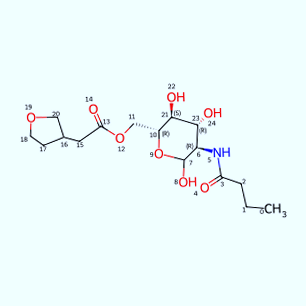 CCCC(=O)N[C@H]1C(O)O[C@H](COC(=O)CC2CCOC2)[C@@H](O)[C@@H]1O